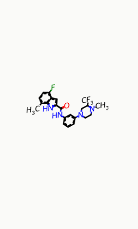 Cc1ccc(F)c2cc(C(=O)Nc3cccc(N4CCN(C)C(C(F)(F)F)C4)c3)[nH]c12